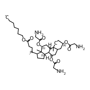 CCCCCCCCOC(=O)CC[C@@H](C)C1CC[C@H]2C3[C@H](OC(=O)CN)CC4C[C@H](OC(=O)CN)CCC4(C)[C@H]3C[C@H](OC(=O)CN)C12C